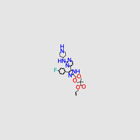 C=CCOC(=O)C1(C)COC(c2nc(-c3ccc(F)cc3)c(-c3ccnc(NC4CCNCC4)n3)[nH]2)OC1